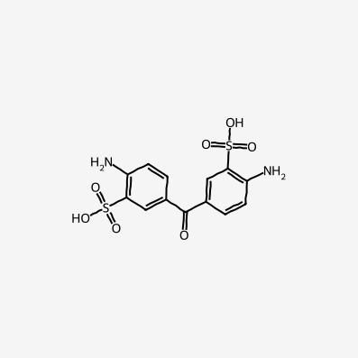 Nc1ccc(C(=O)c2ccc(N)c(S(=O)(=O)O)c2)cc1S(=O)(=O)O